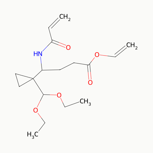 C=COC(=O)CCC(NC(=O)C=C)C1(C(OCC)OCC)CC1